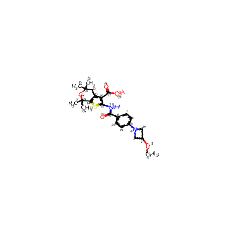 COC1CN(c2ccc(C(=O)Nc3sc4c(c3C(=O)O)CC(C)(C)OC4(C)C)cc2)C1